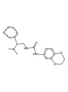 CN(C)C(CNC(=O)Nc1ccc2c(c1)OCCO2)c1ccccc1